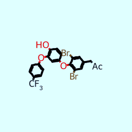 CC(=O)Cc1cc(Br)c(Oc2ccc(O)c(Oc3ccc(C(F)(F)F)cc3)c2)c(Br)c1